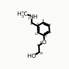 CNCc1cccc(OCCO)c1